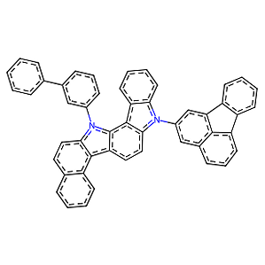 c1ccc(-c2cccc(-n3c4ccc5ccccc5c4c4ccc5c(c6ccccc6n5-c5cc6c7c(cccc7c5)-c5ccccc5-6)c43)c2)cc1